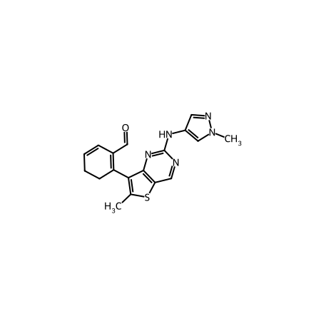 Cc1sc2cnc(Nc3cnn(C)c3)nc2c1C1=C(C=O)C=CCC1